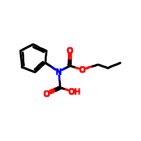 CCCOC(=O)N(C(=O)O)c1ccccc1